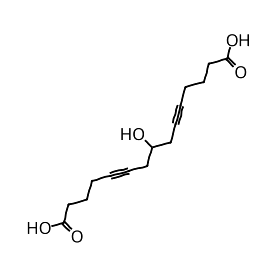 O=C(O)CCCC#CCC(O)CC#CCCCC(=O)O